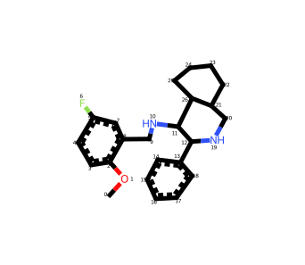 COc1ccc(F)cc1CNC1C(c2ccccc2)NCC2CCCCC21